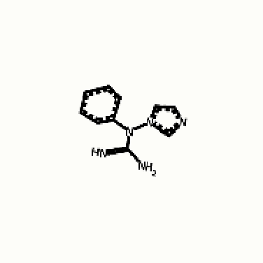 N=C(N)N(c1ccccc1)n1ccnc1